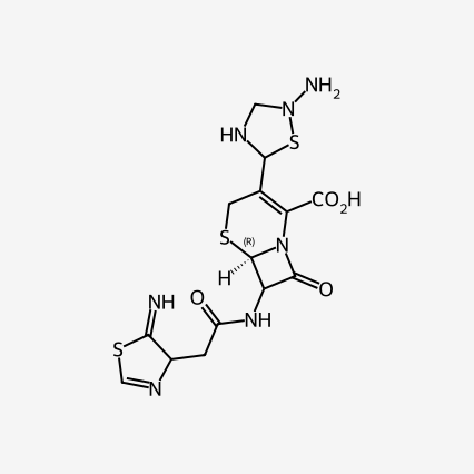 N=C1SC=NC1CC(=O)NC1C(=O)N2C(C(=O)O)=C(C3NCN(N)S3)CS[C@H]12